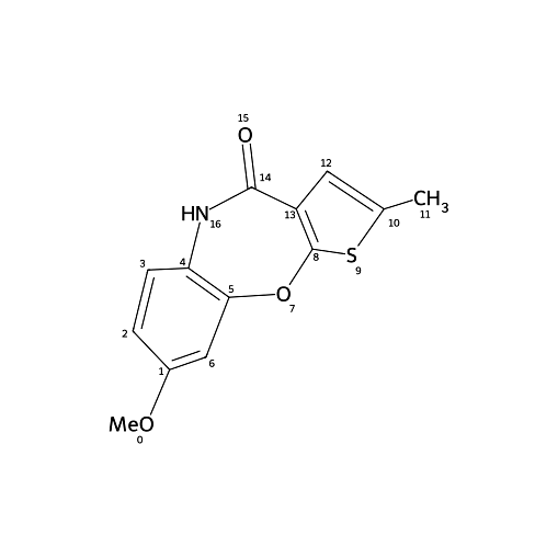 COc1ccc2c(c1)Oc1sc(C)cc1C(=O)N2